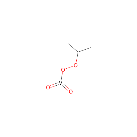 CC(C)O[O][V](=[O])=[O]